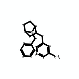 Nc1cncc(CC2CC3CCC2N3Cc2ccccc2)c1